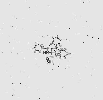 CC(C)(C)C1(c2ccccc2)CC(CO[SiH3])(NCc2ccccc2)C1(F)c1ccccc1